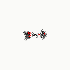 C[Si](C)(C)O[Si](CCCOC(=O)C=CC(=O)OCCC[Si](O[Si](C)(C)C)(O[Si](C)(C)C)O[Si](O[Si](C)(C)C)(O[Si](C)(C)C)O[Si](C)(C)C)(O[Si](C)(C)C)O[Si](O[Si](C)(C)C)(O[Si](C)(C)C)O[Si](C)(C)C